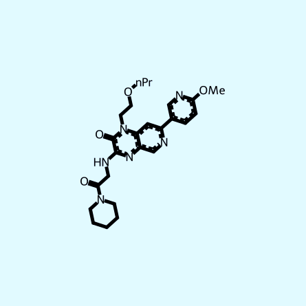 CCCOCCn1c(=O)c(NCC(=O)N2CCCCC2)nc2cnc(-c3ccc(OC)nc3)cc21